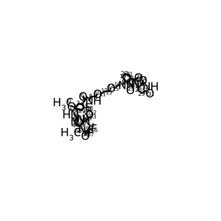 COc1cc(C(=O)NCCOCCCOCCNc2cccc3c2C(=O)N(C2CCC(=O)NC2=O)C3=O)c(F)cc1Nc1ncc2c(n1)N(C1CCCC1)CC(F)(F)C(=O)N2C